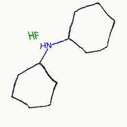 C1CCC(NC2CCCCC2)CC1.F